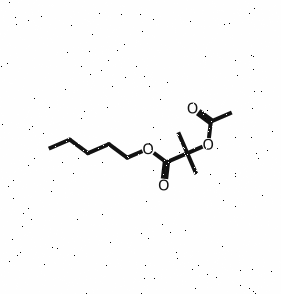 CCCCCOC(=O)C(C)(C)OC(C)=O